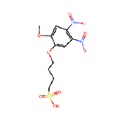 COc1cc([N+](=O)[O-])c([N+](=O)[O-])cc1OCCCCS(=O)(=O)O